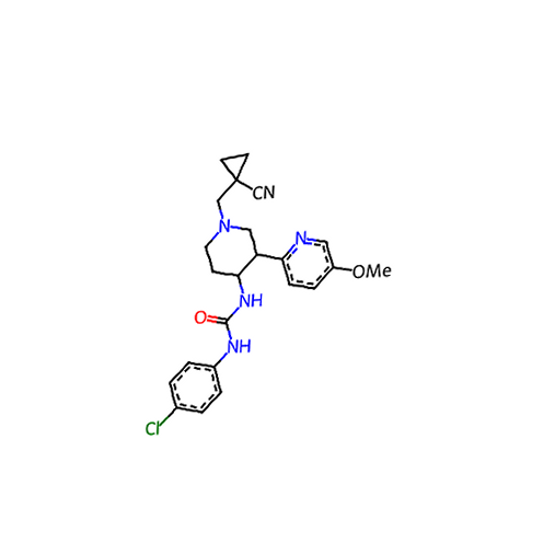 COc1ccc(C2CN(CC3(C#N)CC3)CCC2NC(=O)Nc2ccc(Cl)cc2)nc1